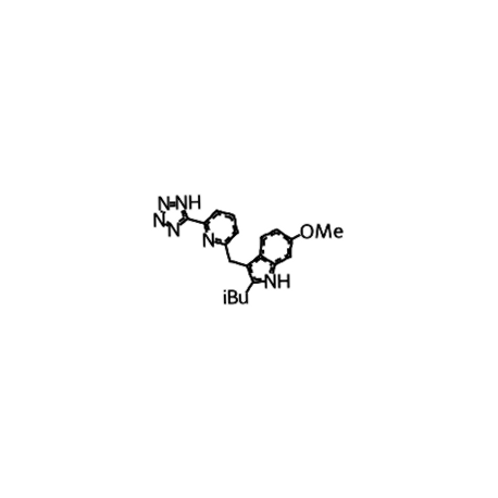 CCC(C)c1[nH]c2cc(OC)ccc2c1Cc1cccc(-c2nnn[nH]2)n1